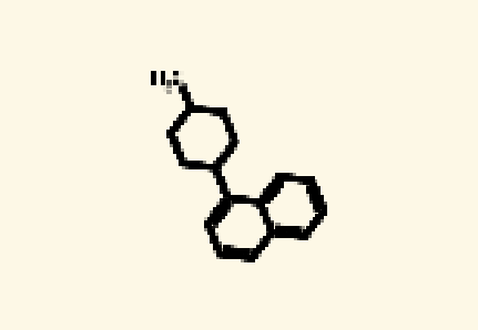 CC1CCC(c2cccc3ccccc23)CC1